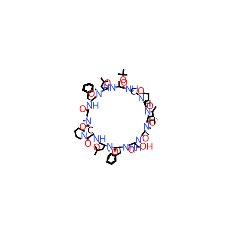 CC(C)CC1C(=O)NC(COC(C)(C)C)C(=O)NCC(=O)N2CCC[C@H]2C(=O)N2C(C)[C@H](C)[C@@H]2C(=O)N(C)[C@@H](C)C(=O)N[C@@H]([C@@H](C)O)C(=O)N[C@@H](Cc2ccccc2)C(=O)N(C)C(CC(C)C)C(=O)NC(C(=O)N2CCCCC2)CC(=O)N(C)CC(=O)N[C@@H](Cc2ccccc2)C(=O)N1C